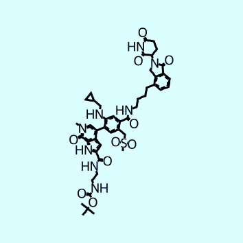 Cn1cc(-c2cc(CS(C)(=O)=O)c(C(=O)NCCCCc3cccc4c3CN(C3CCC(=O)NC3=O)C4=O)cc2NCC2CC2)c2cc(C(=O)NCCNC(=O)OC(C)(C)C)[nH]c2c1=O